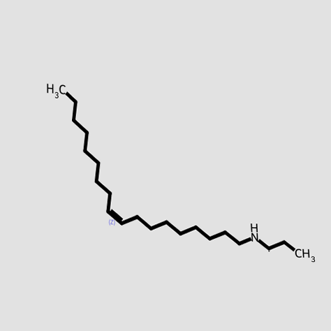 CC[CH]NCCCCCCCC/C=C\CCCCCCCC